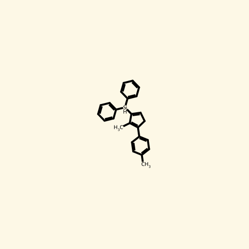 CC1=C(c2ccc(C)cc2)CC=C1[SiH](c1ccccc1)c1ccccc1